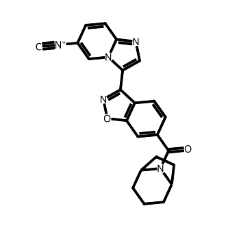 [C-]#[N+]c1ccc2ncc(-c3noc4cc(C(=O)N5C6CCCC5CC6)ccc34)n2c1